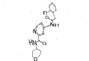 O=C(Cc1ccccc1Cl)Nc1ccnc(C(=O)NC2CCOCC2)c1